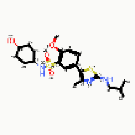 COc1ccc(-c2sc(NCC(C)C)nc2C)cc1S(=O)(=O)N[C@H]1CC[C@@H](O)CC1